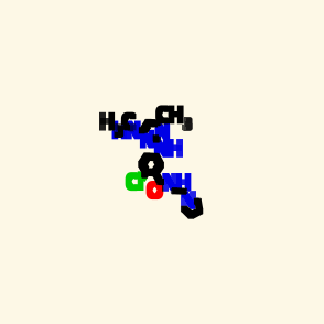 CNc1cc(C)nc(Nc2ccc(Cl)c(C(=O)NCCN3CCCC3)c2)n1